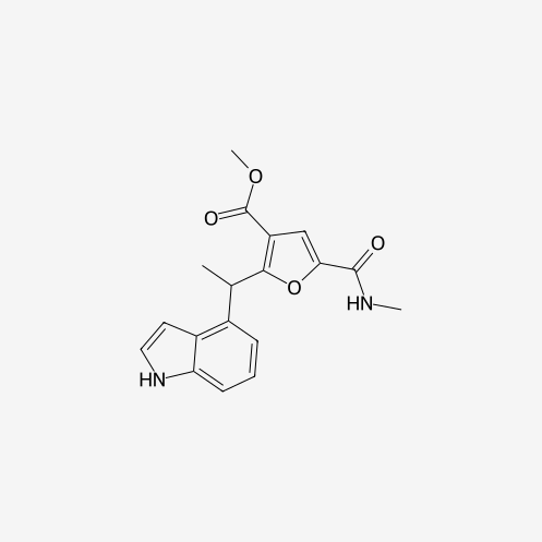 CNC(=O)c1cc(C(=O)OC)c(C(C)c2cccc3[nH]ccc23)o1